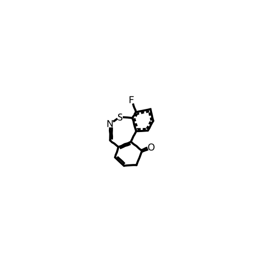 O=C1CC=CC2=C1c1cccc(F)c1SN=C2